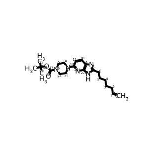 C=CCCCCCc1nc2ccc(N3CCN(C(=O)OC(C)(C)C)CC3)nc2[nH]1